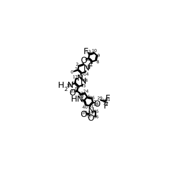 Cc1cc(Oc2c(F)cccc2F)ncc1N1CC(N)=C(C(=O)c2cc3cc(OCC(F)F)c(N4CCOC4=O)cc3[nH]2)C=N1